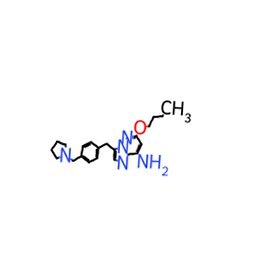 CCCCOc1cc(N)c2ncc(Cc3ccc(CN4CCCC4)cc3)n2n1